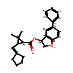 CC1(C)C(C=C2CCCC2)C1C(=O)OC1COc2ccc(-c3ccccc3)cc21